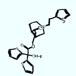 O=C(OC1C[N+]2(CCc3cccs3)CCC1CC2)C(O)(c1cccs1)c1cccs1